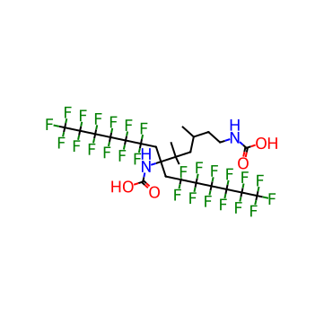 CC(CCNC(=O)O)CC(C)(C)C(CC(F)(F)C(F)(F)C(F)(F)C(F)(F)C(F)(F)C(F)(F)F)(CC(F)(F)C(F)(F)C(F)(F)C(F)(F)C(F)(F)C(F)(F)F)NC(=O)O